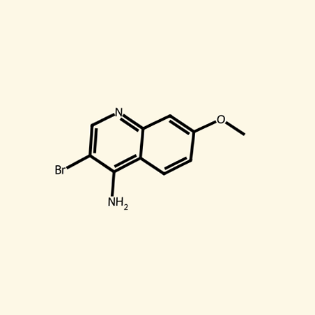 COc1ccc2c(N)c(Br)cnc2c1